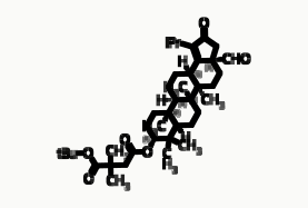 CC(C)C1=C2[C@H]3CC[C@@H]4[C@@]5(C)CC[C@H](OC(=O)CC(C)(C)C(=O)OC(C)(C)C)C(C)(C)[C@H]5CC[C@@]4(C)[C@]3(C)CC[C@@]2(C=O)CC1=O